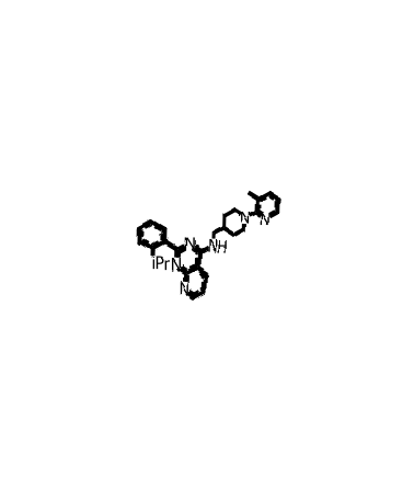 Cc1cccnc1N1CCC(CNc2nc(-c3ccccc3C(C)C)nc3ncccc23)CC1